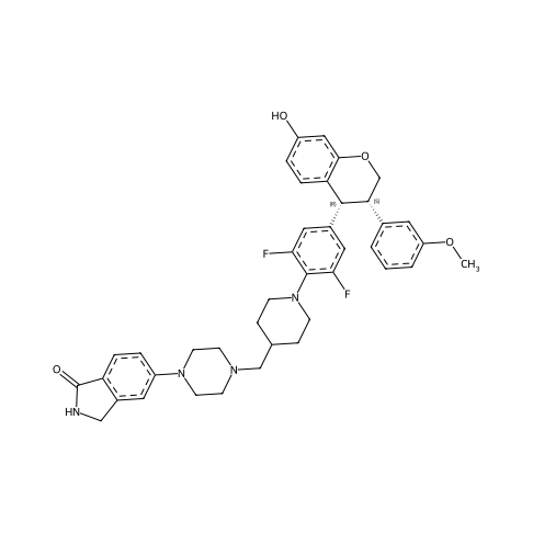 COc1cccc([C@H]2COc3cc(O)ccc3[C@H]2c2cc(F)c(N3CCC(CN4CCN(c5ccc6c(c5)CNC6=O)CC4)CC3)c(F)c2)c1